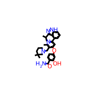 Cc1nc(-c2cccc3[nH]nc(C(C)C)c23)cc(Oc2ccc(C(N)=O)c(O)c2)c1CN1CCCC(C)(C)C1